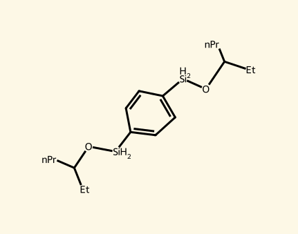 CCCC(CC)O[SiH2]c1ccc([SiH2]OC(CC)CCC)cc1